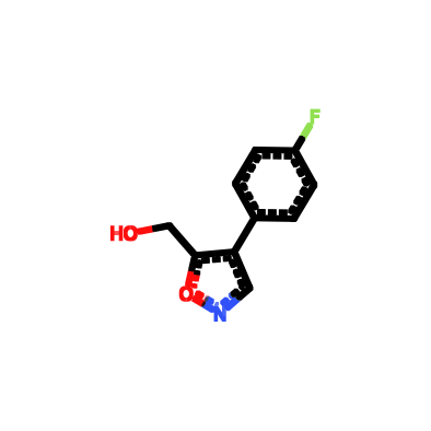 OCc1oncc1-c1ccc(F)cc1